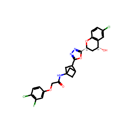 O=C(COc1ccc(Cl)c(F)c1)NC12CC(C1)C(c1nnc([C@H]3C[C@@H](O)c4cc(Cl)ccc4O3)o1)C2